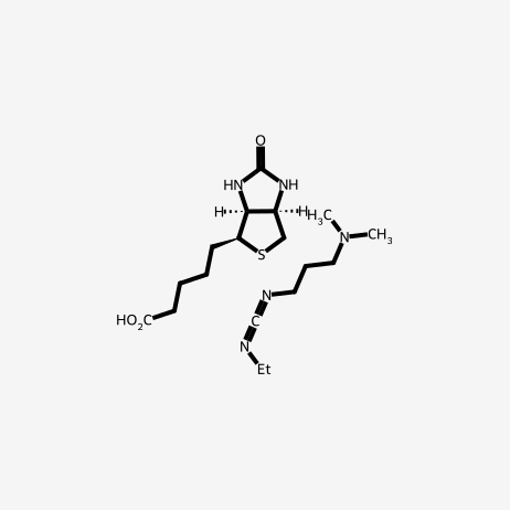 CCN=C=NCCCN(C)C.O=C(O)CCCC[C@@H]1SC[C@@H]2NC(=O)N[C@@H]21